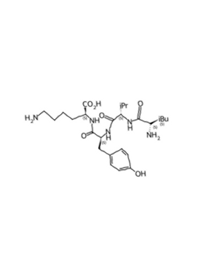 CC[C@H](C)[C@H](N)C(=O)N[C@H](C(=O)N[C@@H](Cc1ccc(O)cc1)C(=O)N[C@@H](CCCCN)C(=O)O)C(C)C